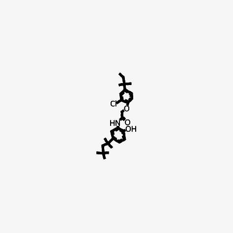 CCC(C)(C)c1ccc(OCC(=O)Nc2cc(C(C)(C)CC(C)(C)C)ccc2O)c(Cl)c1